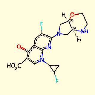 O=C(O)c1cn(C2CC2F)c2nc(N3C[C@@H]4NCCO[C@@H]4C3)c(F)cc2c1=O